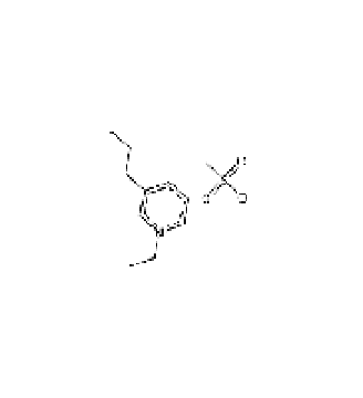 CCCc1ccc[n+](CC)c1.CS(=O)(=O)[O-]